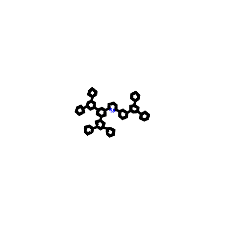 c1ccc(-c2cc(-c3ccccc3)cc(-c3cccc(-c4cccc(-c5cc(-c6cc(-c7ccccc7)cc(-c7ccccc7)c6)cc(-c6cc(-c7ccccc7)cc(-c7ccccc7)c6)c5)n4)c3)c2)cc1